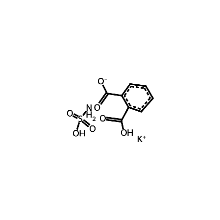 NS(=O)(=O)O.O=C([O-])c1ccccc1C(=O)O.[K+]